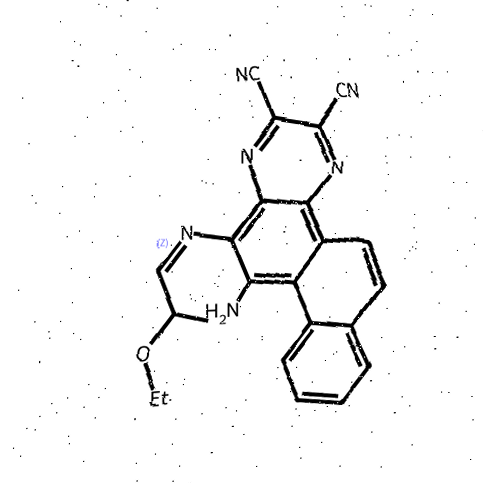 CCOC(C)/C=N\c1c(N)c2c3ccccc3ccc2c2nc(C#N)c(C#N)nc12